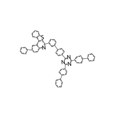 c1ccc(-c2ccc(-c3nc(-c4ccc(-c5ccccc5)cc4)nc(-c4ccc(-c5cccc(-c6nc7ccc(-c8ccccc8)cc7c7c6sc6ccccc67)c5)cc4)n3)cc2)cc1